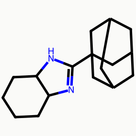 C1CCC2NC(C34CC5CC(CC(C5)C3)C4)=NC2C1